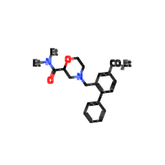 CCOC(=O)c1ccc(-c2ccccc2)c(CN2CCOC(C(=O)N(CC)CC)C2)c1